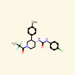 COc1ccc(C2CN(C(=O)C(C)(F)F)CC[C@H]2NC(=O)Nc2ccc(Cl)cc2)cc1